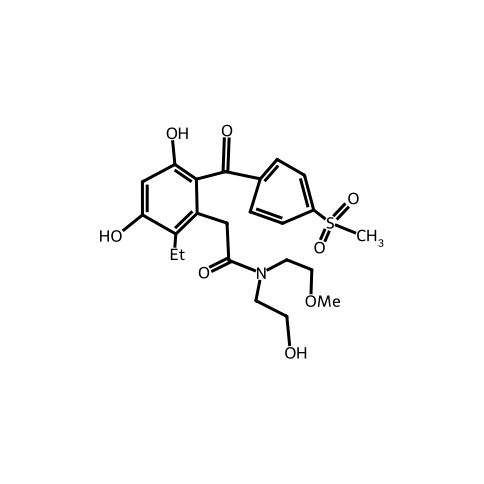 CCc1c(O)cc(O)c(C(=O)c2ccc(S(C)(=O)=O)cc2)c1CC(=O)N(CCO)CCOC